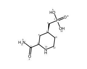 NC(=O)C1C[C@@H](CP(=O)(O)O)CCN1